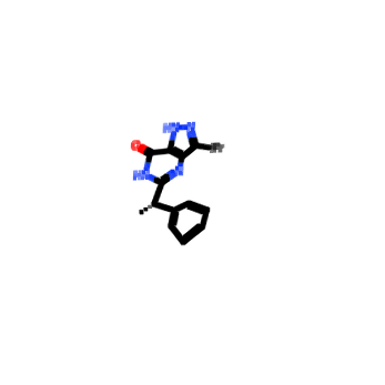 CC(C)c1n[nH]c2c(=O)[nH]c([C@@H](C)c3ccccc3)nc12